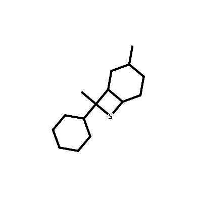 CC1CCC2SC(C)(C3CCCCC3)C2C1